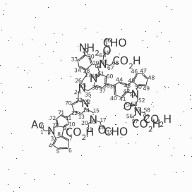 CC(=O)Cn1c2ccccc2c2cc(-c3cc(CN(COC=O)CC(=O)O)nc(CN(CCc4ccc(N)cc4)Cc4cc(-c5ccc6c(c5)c5ccccc5n6CC(=O)N(CC(=O)O)CC(=O)O)cc(CN(COC=O)CC(=O)O)n4)c3)ccc21